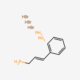 Br.Br.Br.P.P.PCC=Cc1ccccc1